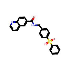 O=C(NCc1ccc(S(=O)(=O)c2ccccc2)cc1)c1ccc2ncccc2c1